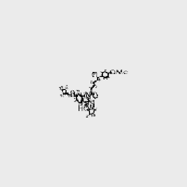 COc1ccc(C(=O)CCCCC(=O)N[C@H](CN2CCCC2)[C@@H](O)c2ccc(OCC3CCC3)cc2)cc1